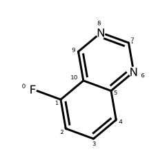 Fc1cccc2n[c]ncc12